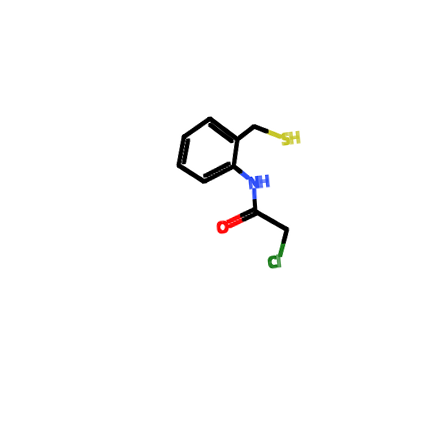 O=C(CCl)Nc1ccccc1CS